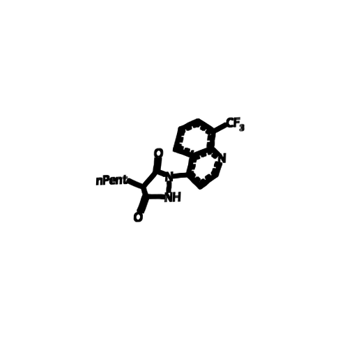 CCCCCC1C(=O)NN(c2ccnc3c(C(F)(F)F)cccc23)C1=O